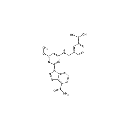 COc1cc(NCc2cccc(B(O)O)c2)nc(-n2nnc3c(C(N)=O)cccc32)n1